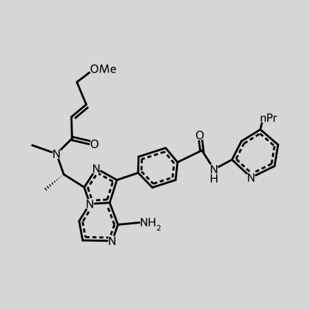 CCCc1ccnc(NC(=O)c2ccc(-c3nc([C@H](C)N(C)C(=O)C=CCOC)n4ccnc(N)c34)cc2)c1